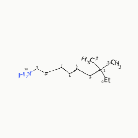 CCC(C)(C)CCCCCCN